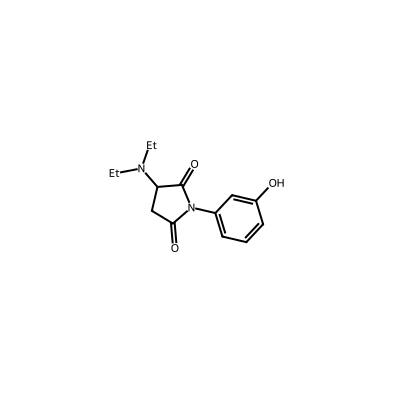 CCN(CC)C1CC(=O)N(c2cccc(O)c2)C1=O